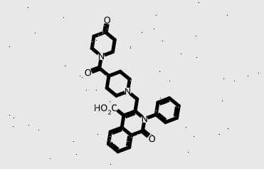 O=C1CCN(C(=O)C2CCN(Cc3c(C(=O)O)c4ccccc4c(=O)n3-c3ccccc3)CC2)CC1